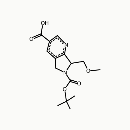 COCC1c2ncc(C(=O)O)cc2CN1C(=O)OC(C)(C)C